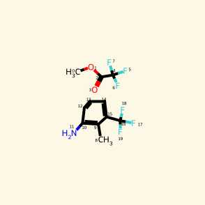 COC(=O)C(F)(F)F.Cc1c(N)cccc1C(F)(F)F